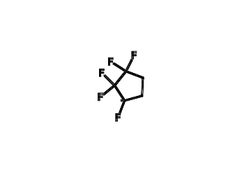 F[C]1CCC(F)(F)C1(F)F